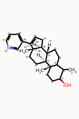 CC1C(O)CC[C@@]2(C)C1CC[C@@H]1[C@@H]2CC[C@]2(C)C(c3cccnc3)=CC[C@@H]12